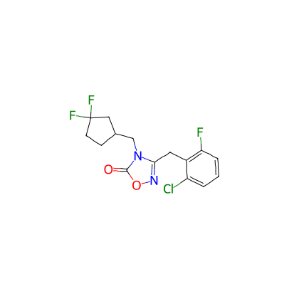 O=c1onc(Cc2c(F)cccc2Cl)n1CC1CCC(F)(F)C1